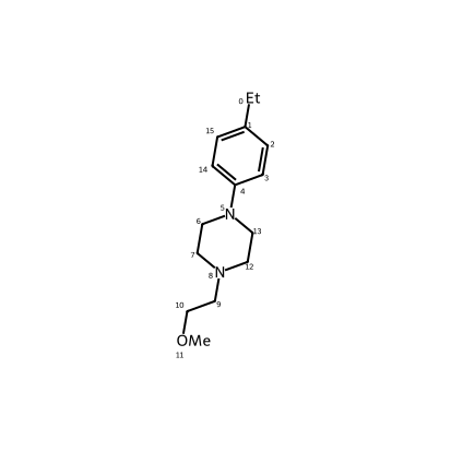 [CH2]Cc1ccc(N2CCN(CCOC)CC2)cc1